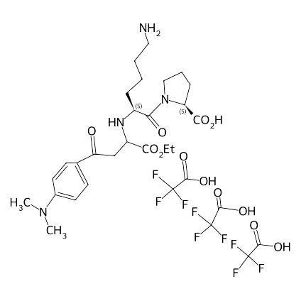 CCOC(=O)C(CC(=O)c1ccc(N(C)C)cc1)N[C@@H](CCCCN)C(=O)N1CCC[C@H]1C(=O)O.O=C(O)C(F)(F)F.O=C(O)C(F)(F)F.O=C(O)C(F)(F)F